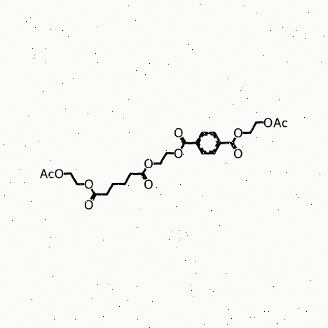 CC(=O)OCCOC(=O)CCCCC(=O)OCCOC(=O)c1ccc(C(=O)OCCOC(C)=O)cc1